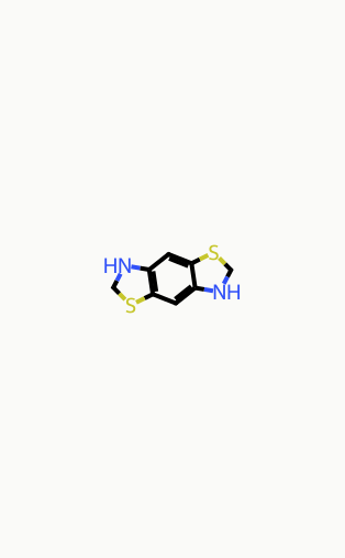 c1c2c(cc3c1SCN3)SCN2